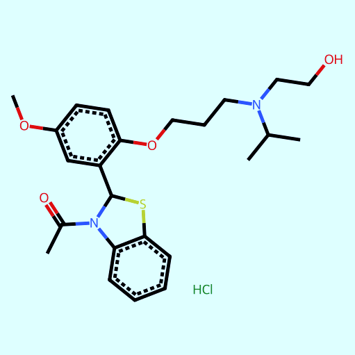 COc1ccc(OCCCN(CCO)C(C)C)c(C2Sc3ccccc3N2C(C)=O)c1.Cl